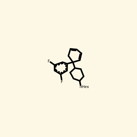 CCCCCCC1CCC(C2(c3cc(F)cc(F)c3)C=CC=CC2)CC1